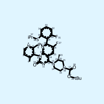 Cc1ccnc(C(C)C)c1-n1c(=O)nc(N2CCN(C(=O)OC(C)(C)C)C[C@@H]2C)c2cc(F)c(-c3c(F)cccc3SC(C)C)nc21